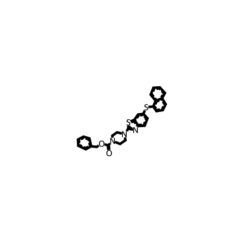 O=C(OCc1ccccc1)N1CCN(c2nc3ccc(Sc4cccc5ccccc45)cc3s2)CC1